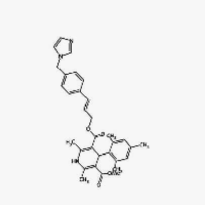 COC(=O)C1=C(C)NC(C)=C(C(=O)OC/C=C/c2ccc(Cn3ccnc3)cc2)C1c1c(C)cc(C)cc1C